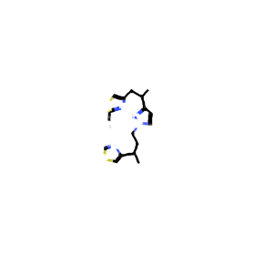 CC(C)c1nc(CC(C)c2ccn(CCC(C)c3cscn3)n2)cs1